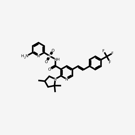 CC1CN(c2ncc(/C=C/c3ccc(C(F)(F)F)cc3)cc2C(=O)NS(=O)(=O)c2cccc(N)n2)C(C)(C)C1